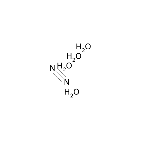 N#N.O.O.O.O